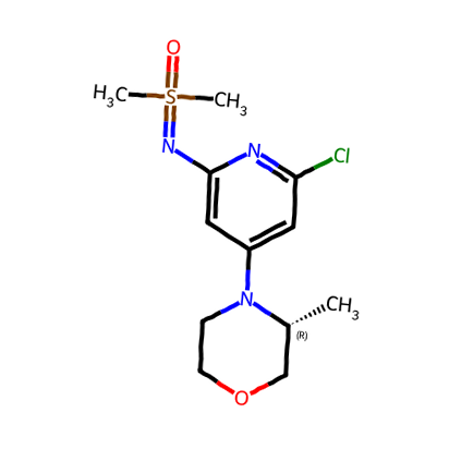 C[C@@H]1COCCN1c1cc(Cl)nc(N=S(C)(C)=O)c1